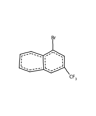 FC(F)(F)c1cc(Br)c2ccccc2c1